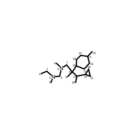 CCN(C)CN(C)CC(C)(C1CCC(C)CC1)C(C)C1CC1